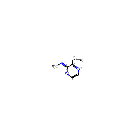 CCCCCc1ncc[nH]c1=NC